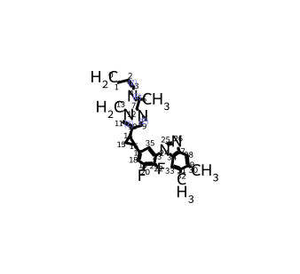 C=C/C=C\N=C(/C)C/N=C\C(=C/N=C)C1CC1c1cc(F)c(F)c(-n2cnc3cc(C)c(C)cc32)c1